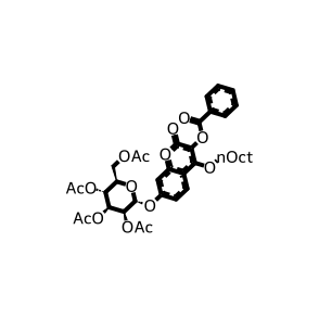 CCCCCCCCOc1c(OC(=O)c2ccccc2)c(=O)oc2cc(O[C@H]3O[C@H](COC(C)=O)[C@@H](OC(C)=O)[C@H](OC(C)=O)[C@@H]3OC(C)=O)ccc12